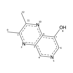 Cc1nc2cncc(O)c2nc1C